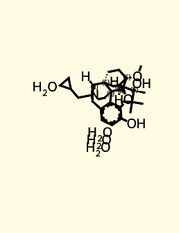 CO[C@@]12CC[C@@]3(C[C@@H]1[C@](C)(O)C(C)(C)C)[C@H]1Cc4ccc(O)c5c4[C@@]3(CCN1CC1CC1)[C@H]2O5.O.O.O.O